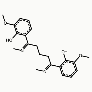 CN=C(CCCC(=NC)c1cccc(OC)c1O)c1cccc(OC)c1O